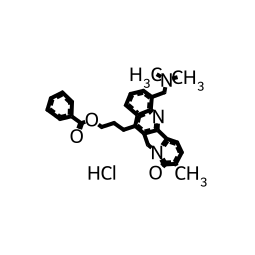 Cc1ccc2n(c1=O)Cc1c-2nc2c(CN(C)C)cccc2c1CCCOC(=O)c1ccccc1.Cl